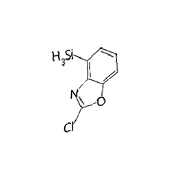 [SiH3]c1cccc2oc(Cl)nc12